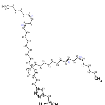 CCCCC/C=C\C/C=C\CCCCCCCCC1(CCCCCCC/C=C/C/C=C\CCCCC)OCC(CCn2cc(CN(C)C)nn2)O1